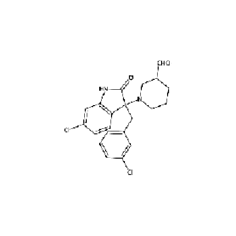 O=[C]C1CCCN(C2(Cc3cccc(Cl)c3)C(=O)Nc3cc(Cl)ccc32)C1